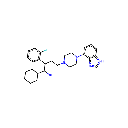 NC(C1CCCCC1)C(CCN1CCN(c2cccc3[nH]cnc23)CC1)c1ccccc1F